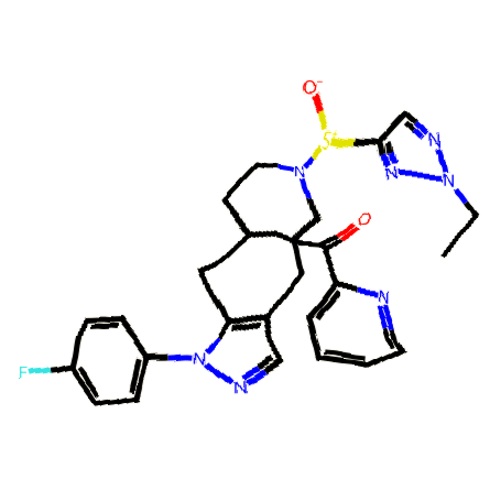 CCn1ncc([S+]([O-])N2CCC3Cc4c(cnn4-c4ccc(F)cc4)CC3(C(=O)c3ccccn3)C2)n1